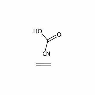 C=C.N#CC(=O)O